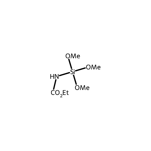 [CH2]COC(=O)N[Si](OC)(OC)OC